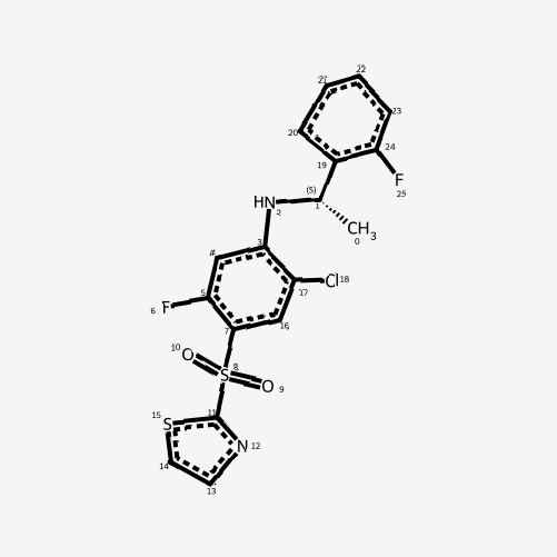 C[C@H](Nc1cc(F)c(S(=O)(=O)c2n[c]cs2)cc1Cl)c1ccccc1F